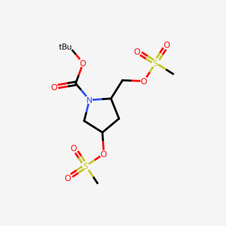 CC(C)(C)OC(=O)N1CC(OS(C)(=O)=O)CC1COS(C)(=O)=O